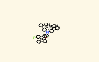 CC1(C)c2ccccc2-c2ccc(N(c3ccc(-c4cccc5c4C4(c6cc(F)ccc6-c6ccc(F)cc64)c4ccccc4-5)cc3)c3ccc4c(c3)C(C)(C)c3ccccc3-4)cc21